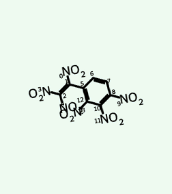 O=[N+]([O-])C(=C([N+](=O)[O-])[N+](=O)[O-])c1ccc([N+](=O)[O-])c([N+](=O)[O-])c1[N+](=O)[O-]